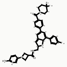 Nc1ccc(N2CC(C(=O)NCC3C=C4C=C(c5ccc(C(=O)N6CCC(F)(F)CC6)cc5)C=C(c5ccc(F)cc5)C4O3)C2)cn1